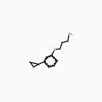 CCCCOc1c[c]cc(C2CC2)c1